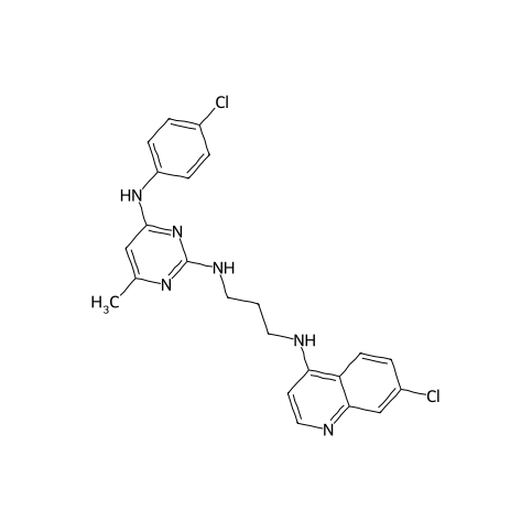 Cc1cc(Nc2ccc(Cl)cc2)nc(NCCCNc2ccnc3cc(Cl)ccc23)n1